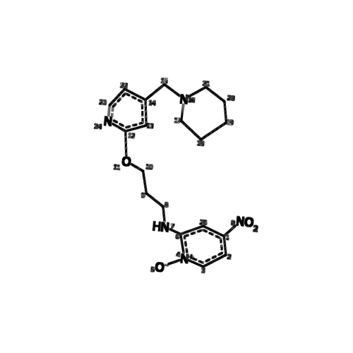 O=[N+]([O-])c1cc[n+]([O-])c(NCCCOc2cc(CN3CCCCC3)ccn2)c1